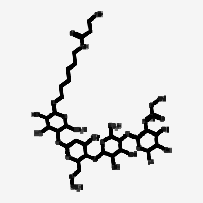 CCC1OC(OC2C(C(=O)O)OC(OC3C(O)CC(OC4C(C(=O)O)OC(OCCCCCCNC(=O)CCO)C(O)C4O)OC3COS(=O)(=O)O)C(O)C2O)C(/N=[SH](=O)/OO)C(O)C1O